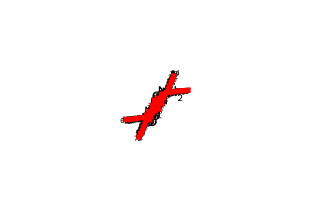 CCCCCCCCCCCCN(CCCCCCCCCCCC)c1cc2nc3c4ccc5c6ccc7c(=O)n8c9cc([N+](=O)[O-])c(N(CCCCCCCCCCCC)CCCCCCCCCCCC)cc9nc8c8ccc(c9ccc(c(=O)n3c2cc1N)c4c59)c6c78